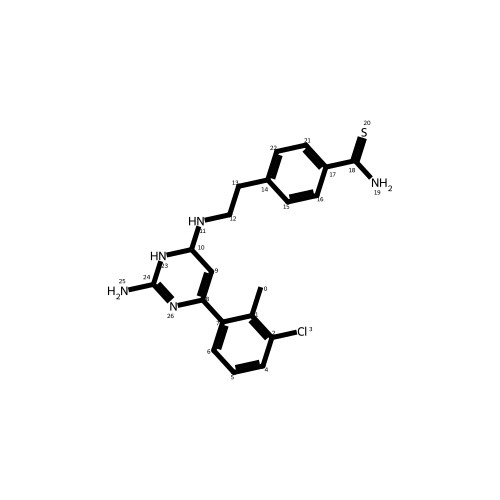 Cc1c(Cl)cccc1C1=CC(NCCc2ccc(C(N)=S)cc2)NC(N)=N1